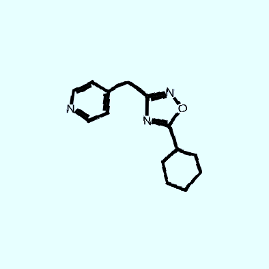 c1cc(Cc2noc(C3CCCCC3)n2)ccn1